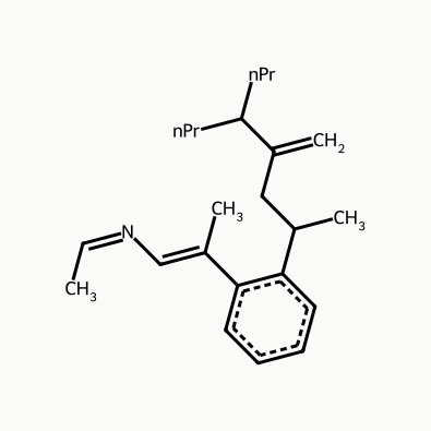 C=C(CC(C)c1ccccc1/C(C)=C/N=C\C)C(CCC)CCC